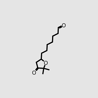 CC1(C)OC(CCCCCCC=O)CC1=O